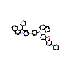 c1ccc(-c2ccc3c(c2)oc2cc(N(c4ccc(-c5ccn6c(c5)c(-c5ccccc5)c5c7ccccc7ccc56)cc4)c4cccc5ccccc45)ccc23)cc1